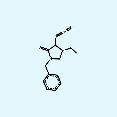 [N-]=[N+]=NC1C(=O)N(Cc2ccccc2)C[C@@H]1CF